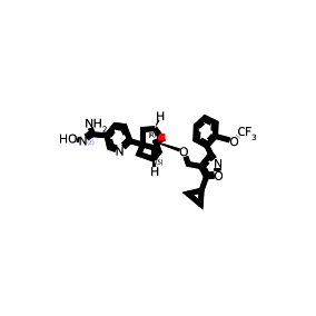 N/C(=N\O)c1ccc(C23C[C@H]4CC2[C@H](C[C@@H](OCc2c(-c5ccccc5OC(F)(F)F)noc2C2CC2)C4)C3)nc1